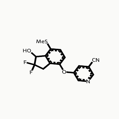 CSc1ccc(Oc2cncc(C#N)c2)c2c1C(O)C(F)(F)C2